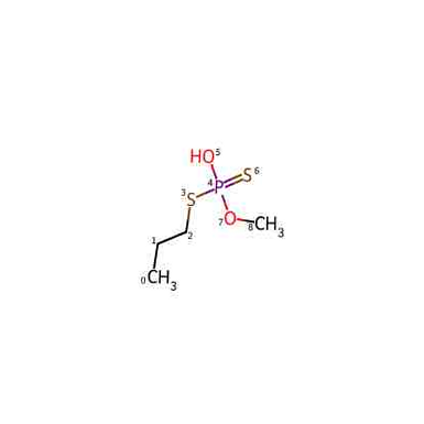 CCCSP(O)(=S)OC